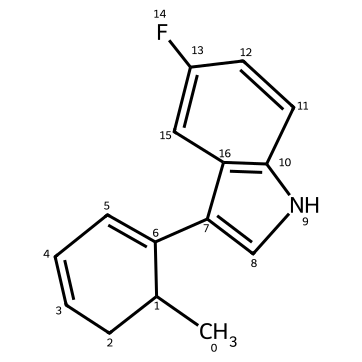 CC1CC=CC=C1c1c[nH]c2ccc(F)cc12